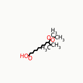 CC(C)OC(=O)C(CCCCCCCCCC(=O)O)C(C)C